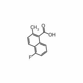 Cc1ccc2c(F)cccc2c1C(=O)O